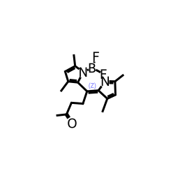 CC(=O)CC/C(=C1/N=C(C)C=C1C)c1c(C)cc(C)n1B(F)F